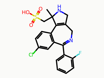 CC1(CS(=O)(=O)O)NCC2=C1c1ccc(Cl)cc1C(c1ccccc1F)=NC2